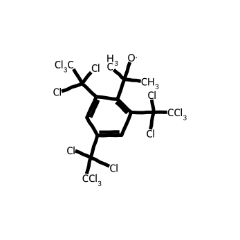 CC(C)([O])c1c(C(Cl)(Cl)C(Cl)(Cl)Cl)cc(C(Cl)(Cl)C(Cl)(Cl)Cl)cc1C(Cl)(Cl)C(Cl)(Cl)Cl